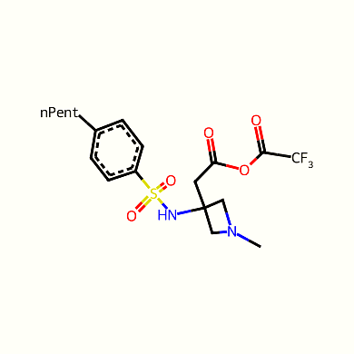 CCCCCc1ccc(S(=O)(=O)NC2(CC(=O)OC(=O)C(F)(F)F)CN(C)C2)cc1